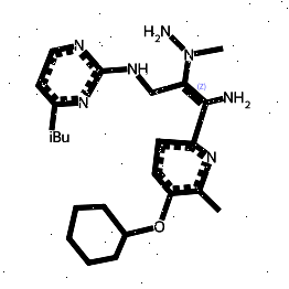 CCC(C)c1ccnc(NC/C(=C(/N)c2ccc(OC3CCCCC3)c(C)n2)N(C)N)n1